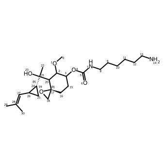 COC1C(OC(=O)NCCCCCCN)CC[C@]2(CO2)C1C(C)(O)[C@@H]1CC1C=C(C)C